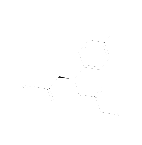 COC(=O)C[C@H](NC(=O)CBr)c1ccc(F)cc1